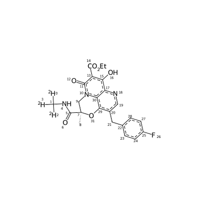 [2H]C([2H])([2H])NC(=O)[C@@]1(C)Cn2c(=O)c(C(=O)OCC)c(O)c3ncc(Cc4ccc(F)cc4)c(c32)O1